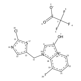 O=C([O-])C(F)(F)F.Oc1cn(Cc2cnc(Cl)s2)c2c(I)ccc[n+]12